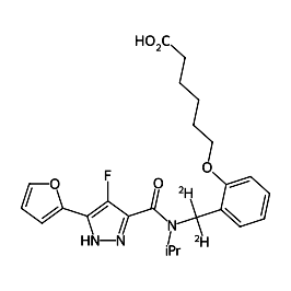 [2H]C([2H])(c1ccccc1OCCCCCC(=O)O)N(C(=O)c1n[nH]c(-c2ccco2)c1F)C(C)C